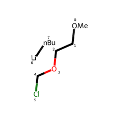 COCCOCCl.[Li][CH2]CCC